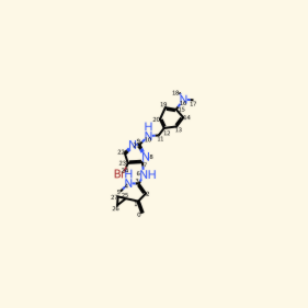 C=C(/C=C(\NC)Nc1nc(NCc2ccc(N(C)C)cc2)ncc1Br)C1CC1